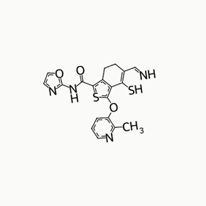 Cc1ncccc1Oc1sc(C(=O)Nc2ncco2)c2c1C(S)=C(C=N)CC2